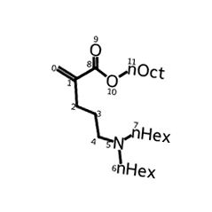 C=C(CCCN(CCCCCC)CCCCCC)C(=O)OCCCCCCCC